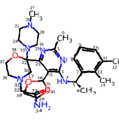 Cc1nc(N[C@H](C)c2cccc(C#N)c2C)c(C2OCCO2)c(C2(N3CCN(C)CC3)CN(CC(N)=O)CCO2)n1